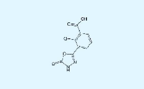 O=C(O)c1cccc(-c2n[nH]c(=O)o2)c1Cl